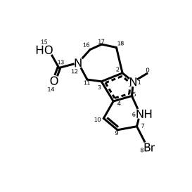 Cn1c2c(c3c1NC(Br)C=C3)CN(C(=O)O)CCC2